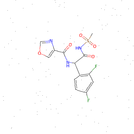 CS(=O)(=O)NC(=O)C(NC(=O)c1cocn1)c1ccc(F)cc1F